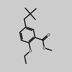 CCOc1ccc(CC(C)(C)C)cc1C(=O)OC